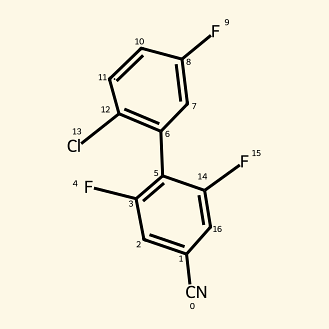 N#Cc1cc(F)c(-c2cc(F)c[c]c2Cl)c(F)c1